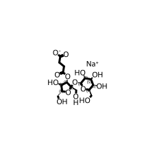 O=C([O-])CCC(=O)O[C@H]1[C@H](O)[C@@H](CO)O[C@@]1(CO)O[C@H]1O[C@H](CO)[C@@H](O)[C@H](O)[C@H]1O.[Na+]